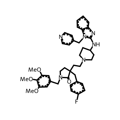 COc1cc(CN2CCC(CCN3CCC(Nc4nc5ccccc5n4Cc4ccncc4)CC3)(Cc3ccc(F)cc3)C2=O)cc(OC)c1OC